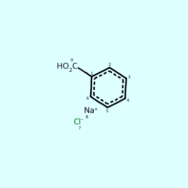 O=C(O)c1ccccc1.[Cl-].[Na+]